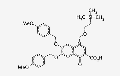 COc1ccc(COc2cc3c(=O)c(C(=O)O)cn(COCC[Si](C)(C)C)c3cc2OCc2ccc(OC)cc2)cc1